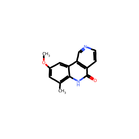 COc1cc(C)c2[nH]c(=O)c3ccncc3c2c1